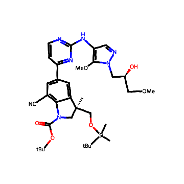 COC[C@H](O)Cn1ncc(Nc2nccc(-c3cc(C#N)c4c(c3)[C@@](C)(CO[Si](C)(C)C(C)(C)C)CN4C(=O)OC(C)(C)C)n2)c1OC